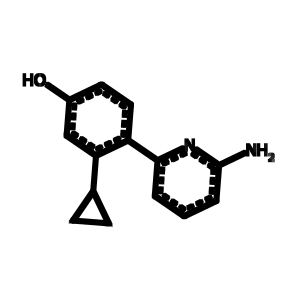 Nc1cccc(-c2ccc(O)cc2C2CC2)n1